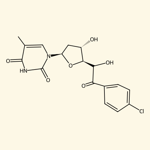 Cc1cn([C@H]2C[C@H](O)[C@@H](C(O)C(=O)c3ccc(Cl)cc3)O2)c(=O)[nH]c1=O